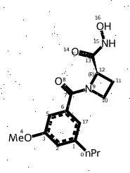 CCCc1cc(OC)cc(C(=O)N2CC[C@@H]2C(=O)NO)c1